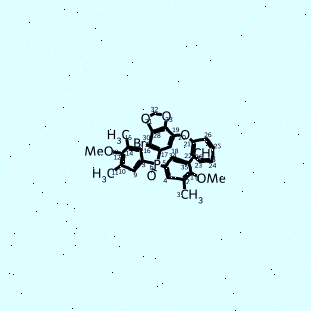 COc1c(C)cc(P(=O)(c2cc(C)c(OC)c(C)c2)c2cc(Oc3ccccc3)c3c(c2Br)OCO3)cc1C